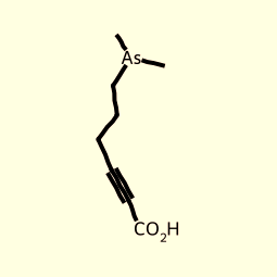 C[As](C)CCCC#CC(=O)O